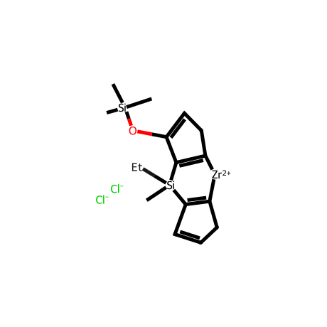 CC[Si]1(C)C2=[C](CC=C2)[Zr+2][C]2=C1C(O[Si](C)(C)C)=CC2.[Cl-].[Cl-]